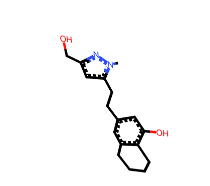 Cn1nc(CO)cc1CCc1cc(O)c2c(c1)CCCC2